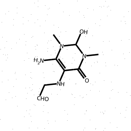 CN1C(=O)C(NCC=O)=C(N)N(C)C1O